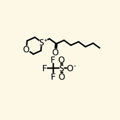 CCCCCCC(=O)C[S+]1CCOCC1.O=S(=O)([O-])C(F)(F)F